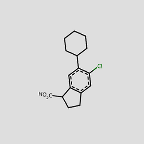 O=C(O)C1CCc2cc(Cl)c(C3CCCCC3)cc21